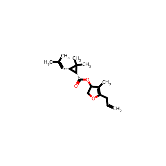 C=CCC1=C(C)C(OC(=O)[C@@H]2[C@H](C=C(C)C)C2(C)C)CO1